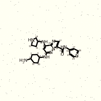 NC1CCC(Nc2cc(NC3CCNC3)c3ncc(C(=O)Nc4ccncc4)n3n2)CC1